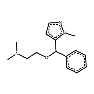 CN(C)CCOC(c1ccccc1)c1ccnn1C